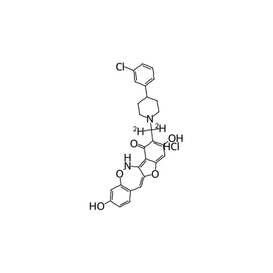 Cl.[2H]C([2H])(C1=C(O)C=c2oc3c(c2C1=O)NOc1cc(O)ccc1C=3)N1CCC(c2cccc(Cl)c2)CC1